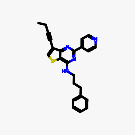 CCC#Cc1csc2c(NCCCc3ccccc3)nc(-c3ccncc3)nc12